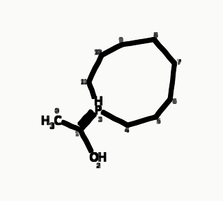 CC(O)=[PH]1CCCCCCCC1